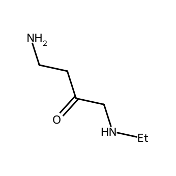 CCNCC(=O)CCN